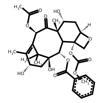 COC(=O)O[C@@]12CO[C@@H]1C[C@@H](O)[C@@]1(C)C(=O)[C@H](OC(C)=O)C3=C(C)[C@@H](O)C[C@@](O)([C@@H](OC(=O)c4ccccc4)C12)C3(C)C